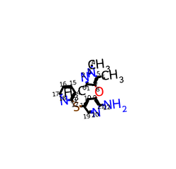 Cc1nn(C)c(C)c1Oc1cc(Sc2ccccn2)cnc1N